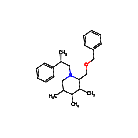 CC1CN(C[C@@H](C)c2ccccc2)C(COCc2ccccc2)C(C)C1C